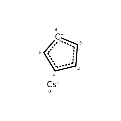 [Cs+].c1cc[cH-]c1